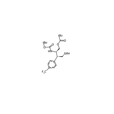 CSC[C@@H](c1ccc(C(F)(F)F)cc1)[C@H](COC(=O)C(C)(C)C)NC(=O)OC(C)(C)C